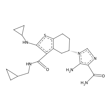 NC(=O)c1ncn([C@H]2CCc3sc(NC4CC4)c(C(=O)NCC4CC4)c3C2)c1N